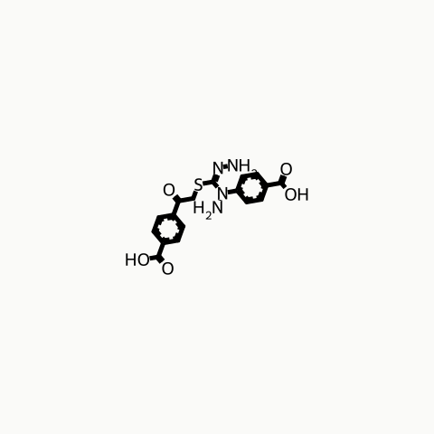 N/N=C(/SCC(=O)c1ccc(C(=O)O)cc1)N(N)c1ccc(C(=O)O)cc1